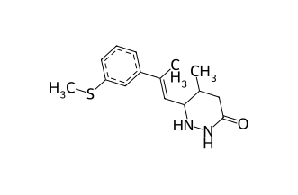 CSc1cccc(/C(C)=C/C2NNC(=O)CC2C)c1